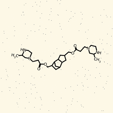 CC1CN(CCC(=O)OCC2CC3C4CC(COC(=O)CCN5CCNC(C)C5)C(C4)C3C2)CCN1